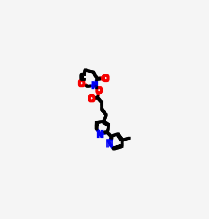 Cc1ccnc(-c2cc(CCCC(=O)ON3COCCCC3=O)ccn2)c1